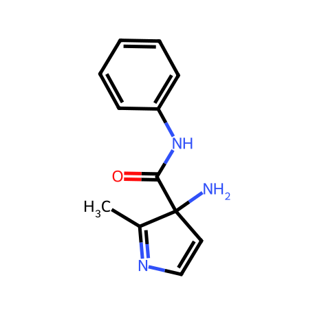 CC1=NC=CC1(N)C(=O)Nc1ccccc1